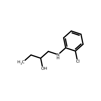 CCC(O)CNc1ccccc1Cl